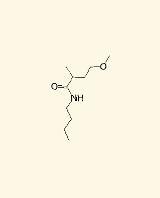 CCCCNC(=O)C(C)CCOC